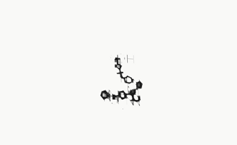 CC(C)(CN1CCC(n2cccc2-c2nc(-c3ccc(C(=O)Nc4ccccn4)cc3)c3c(N)nccn23)CC1)C1CN(C(=O)O)C1